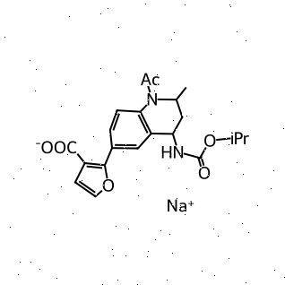 CC(=O)N1c2ccc(-c3occc3C(=O)[O-])cc2C(NC(=O)OC(C)C)CC1C.[Na+]